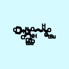 CC(C)(C)OC(=O)NCCCOc1nn(C2CCOCC2)c(Cl)c1NC(=O)OC(C)(C)C